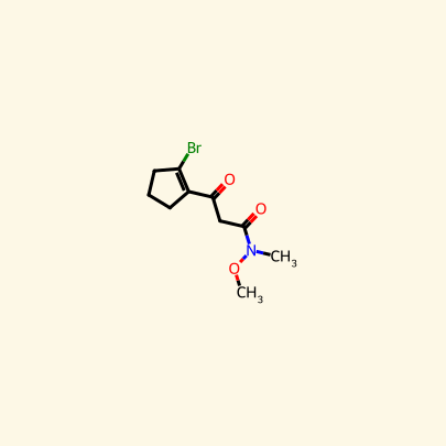 CON(C)C(=O)CC(=O)C1=C(Br)CCC1